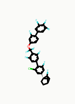 FC1=CC2CC[C@]1(c1cc(F)c(-c3cc(F)c(C(F)(F)Oc4ccc(-c5cc(F)c(F)c(F)c5)c(F)c4)c(F)c3)c(Cl)c1)C2